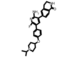 CC(C)N1CCC(Oc2ccc(-c3cc(-c4ccc5c(c4)CCNC5=O)c(N)nc3F)cc2)CC1